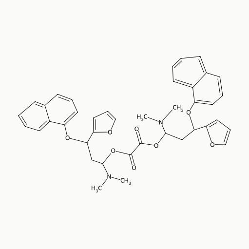 CN(C)C(CC(Oc1cccc2ccccc12)c1ccco1)OC(=O)C(=O)OC(CC(Oc1cccc2ccccc12)c1ccco1)N(C)C